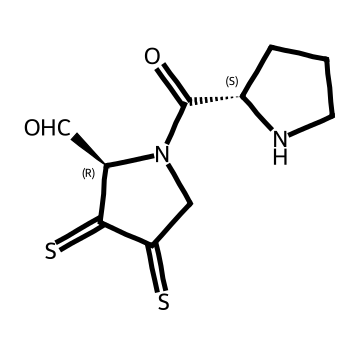 O=C[C@@H]1C(=S)C(=S)CN1C(=O)[C@@H]1CCCN1